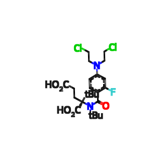 CC(C)(C)N(C(=O)c1ccc(N(CCCl)CCCl)cc1F)[C@@](CCC(=O)O)(C(=O)O)C(C)(C)C